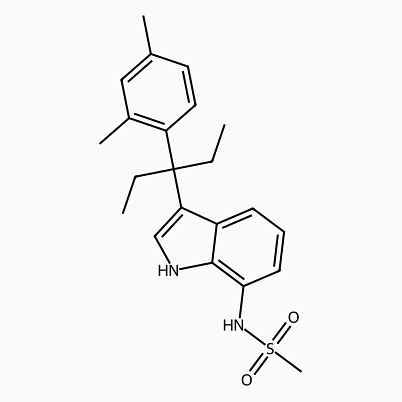 CCC(CC)(c1ccc(C)cc1C)c1c[nH]c2c(NS(C)(=O)=O)cccc12